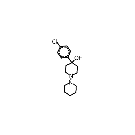 OC1(c2ccc(Cl)cc2)CCN(N2CCCCC2)CC1